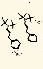 CC(C)(C)P(C=CCc1ccccn1)C(C)(C)C.CC(C)(C)P(C=CCc1ccccn1)C(C)(C)C.[Cl-].[Cl-].[Pd+2]